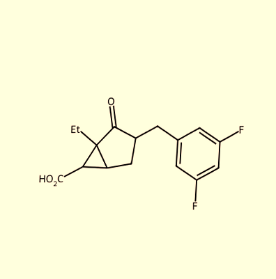 CCC12C(=O)C(Cc3cc(F)cc(F)c3)CC1C2C(=O)O